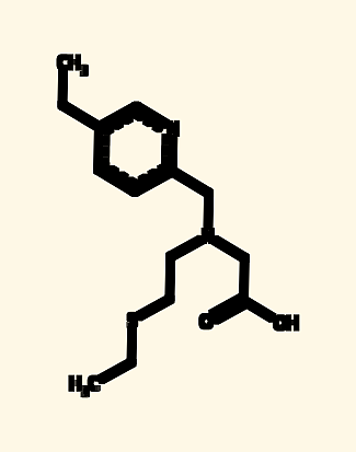 CCSCCN(CC(=O)O)Cc1ccc(CC)cn1